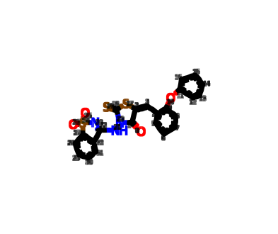 O=C1/C(=C\c2ccccc2Oc2ccccc2)SC(=S)N1NC1=NS(=O)(=O)c2ccccc21